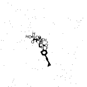 C[C@@](C[C@H]1CN(c2ccc(C#CC3CC3)cc2F)C(=O)O1)(C(=O)NO)S(C)(=O)=O